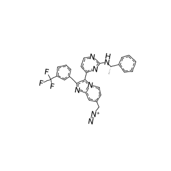 C[C@H](Nc1nccc(-c2c(-c3cccc(C(F)(F)F)c3)nc3cc(C[N+]#N)ccn23)n1)c1ccccc1